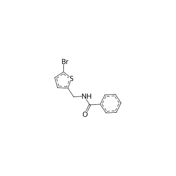 O=C(NCc1ccc(Br)s1)c1ccccc1